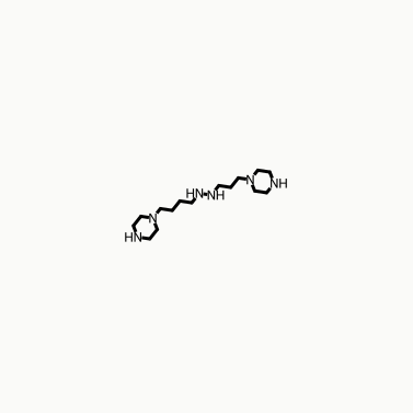 C(CCN1CCNCC1)CNNCCCN1CCNCC1